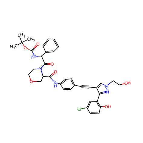 CC(C)(C)OC(=O)NC(C(=O)N1CCOCC1C(=O)Nc1ccc(C#Cc2cn(CCO)nc2-c2cc(Cl)ccc2O)cc1)c1ccccc1